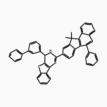 CC1(C)c2cc(C3=Nc4c(sc5ccccc45)C(c4cccc(-c5ccccc5)c4)N3)ccc2-c2c(-c3ccccc3)cc3ccccc3c21